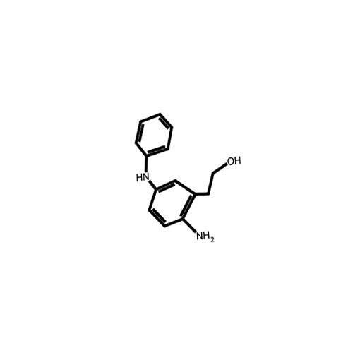 Nc1ccc(Nc2ccccc2)cc1CCO